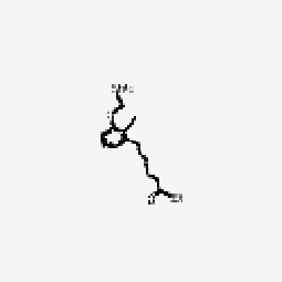 CCC(=O)CCCCCc1cccc(OCSC)c1C